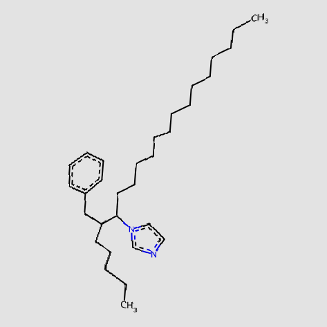 CCCCCCCCCCCCCCC(C(CCCCC)Cc1ccccc1)n1ccnc1